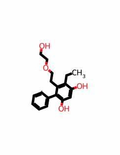 CCc1c(O)cc(O)c(-c2[c]cccc2)c1CCOCCO